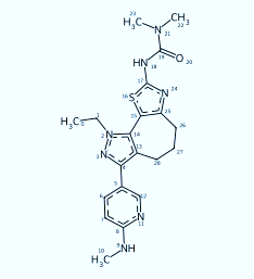 CCn1nc(-c2ccc(NC)nc2)c2c1-c1sc(NC(=O)N(C)C)nc1CCC2